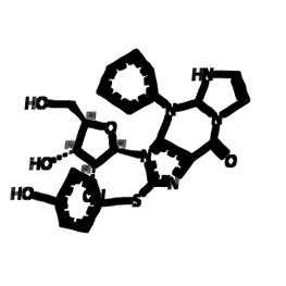 O=C1c2nc(Sc3ccc(O)cc3)n([C@@H]3O[C@H](CO)[C@@H](O)[C@H]3O)c2N(c2ccccc2)C2NC=CN12